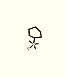 CP(C)(C)(Cl)C1CCCCC1